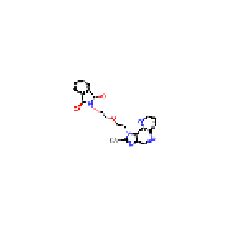 CCCc1nc2cnc3cccnc3c2n1CCOCCON1C(=O)c2ccccc2C1=O